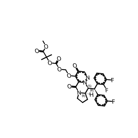 COC(=O)C(C)(C)OC(=O)OCOc1c2n(ncc1=O)[C@@H]([C@H](c1cccc(F)c1)c1cccc(F)c1F)[C@H]1CCCN1C2=O